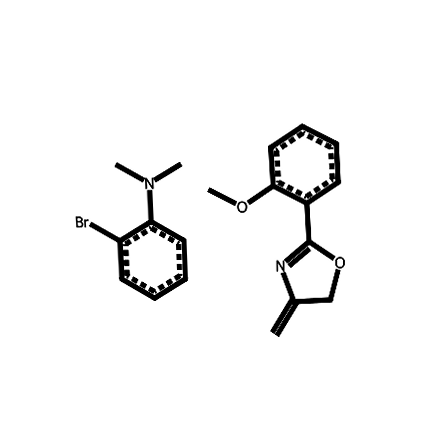 C=C1COC(c2ccccc2OC)=N1.CN(C)c1ccccc1Br